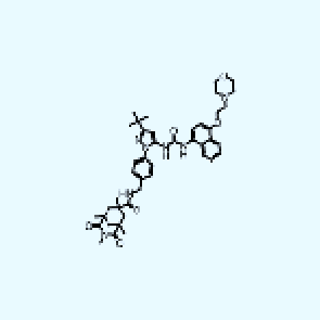 CN1C(=O)C2(C)CC(C)(C(=O)NCc3ccc(-n4nc(C(C)(C)C)cc4NC(=O)Nc4ccc(OCCN5CCOCC5)c5ccccc45)cc3)CC(C)(C2)C1=O